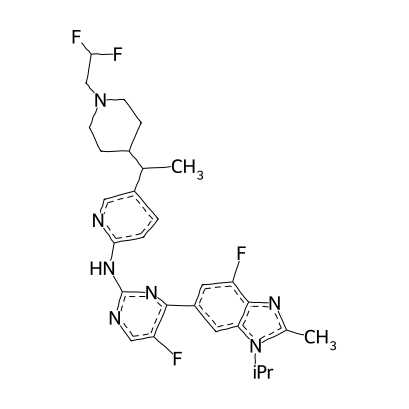 Cc1nc2c(F)cc(-c3nc(Nc4ccc(C(C)C5CCN(CC(F)F)CC5)cn4)ncc3F)cc2n1C(C)C